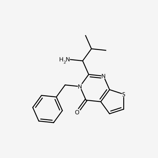 CC(C)C(N)c1nc2sccc2c(=O)n1Cc1ccccc1